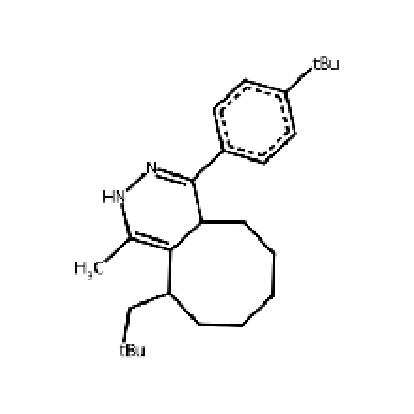 CC1=C2C(CC(C)(C)C)CCCCCC2C(c2ccc(C(C)(C)C)cc2)=NN1